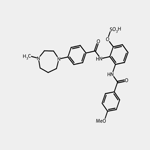 COc1ccc(C(=O)Nc2cccc(OS(=O)(=O)O)c2NC(=O)c2ccc(N3CCCN(C)CC3)cc2)cc1